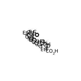 CCC(C(=O)[C@@H](C)[C@@H](O)[C@H](C)[C@@H]1O[C@@H]([C@@H](CC)C(=O)O)CC[C@@H]1C)[C@H]1O[C@]2(C=C[C@@H](NC(=O)c3ccccc3C(F)(F)F)[C@]3(CC[C@@](C)([C@H]4CC[C@](O)(CC)[C@H](C)O4)O3)O2)[C@H](C)C[C@@H]1C